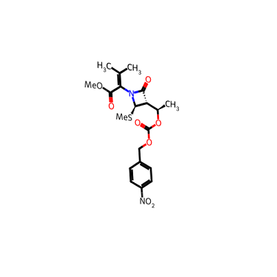 COC(=O)C(=C(C)C)N1C(=O)[C@H]([C@@H](C)OC(=O)OCc2ccc([N+](=O)[O-])cc2)[C@H]1SC